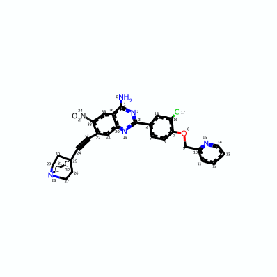 Nc1nc(-c2ccc(OCc3ccccn3)c(Cl)c2)nc2cc(C#CC34CCN(CC3)CC4)c([N+](=O)[O-])cc12